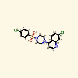 O=S(=O)(c1ccc(Cl)cc1)N1CCN(c2ccnc3cc(Cl)ccc23)CC1